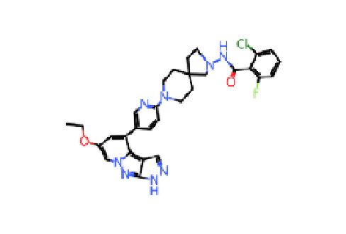 CCOc1cc(-c2ccc(N3CCC4(CCN(NC(=O)c5c(F)cccc5Cl)C4)CC3)nc2)c2c3cn[nH]c3nn2c1